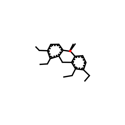 CCc1ccc(CC)c(CC)c1[CH]c1c(CC)ccc(CC)c1CC